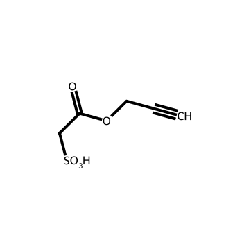 C#CCOC(=O)CS(=O)(=O)O